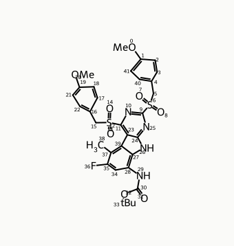 COc1ccc(CS(=O)(=O)c2nc(S(=O)(=O)Cc3ccc(OC)cc3)c3c(n2)[nH]c2c(NC(=O)OC(C)(C)C)cc(F)c(C)c23)cc1